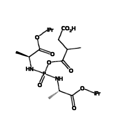 CC(C)OC(=O)[C@H](C)NP(=O)(N[C@@H](C)C(=O)OC(C)C)OC(=O)C(C)CC(=O)O